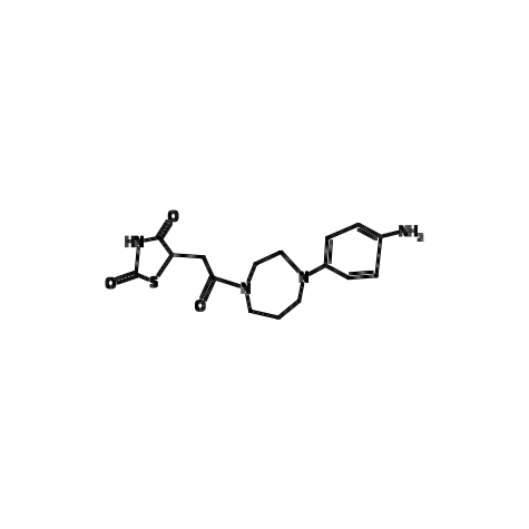 Nc1ccc(N2CCCN(C(=O)CC3SC(=O)NC3=O)CC2)cc1